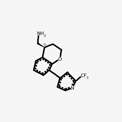 NC[C@H]1CCOc2c(-c3ccnc(C(F)(F)F)c3)cccc21